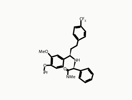 CNC(=O)[C@@H](N[C@H](CCc1ccc(C(F)(F)F)cc1)c1ccc(OC(C)C)c(OC)c1)c1ccccc1